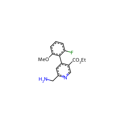 CCOC(=O)c1cnc(CN)cc1-c1c(F)cccc1OC